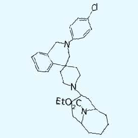 CCOC(=O)N1C2CCCCC1CC(N1CCC3(CC1)CN(c1ccc(Cl)cc1)Cc1ccccc13)CC2